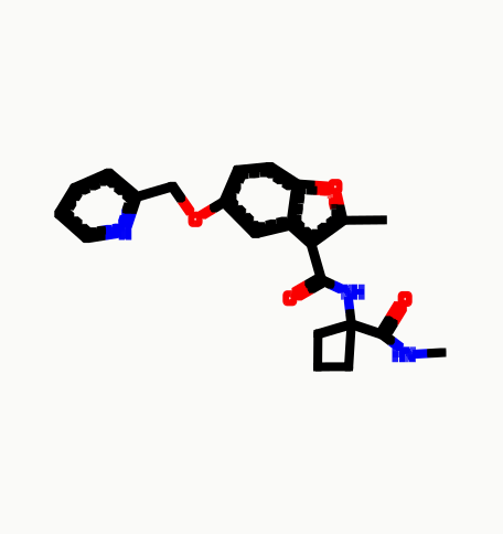 CNC(=O)C1(NC(=O)c2c(C)oc3ccc(OCc4ccccn4)cc23)CCC1